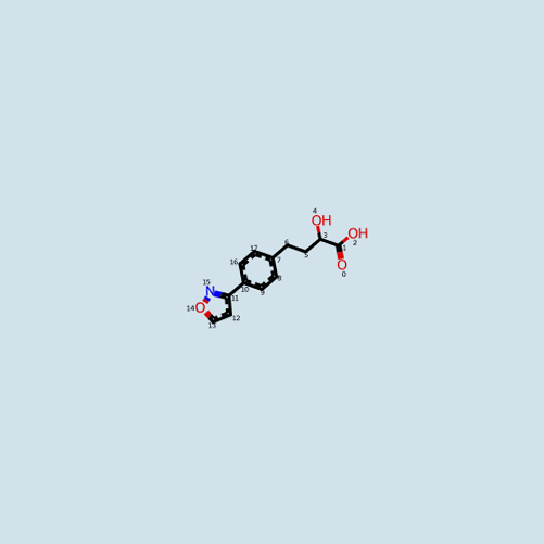 O=C(O)C(O)CCc1ccc(-c2ccon2)cc1